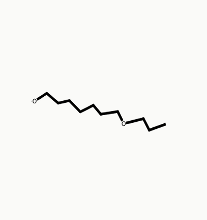 CCCOCCCCCCC[O]